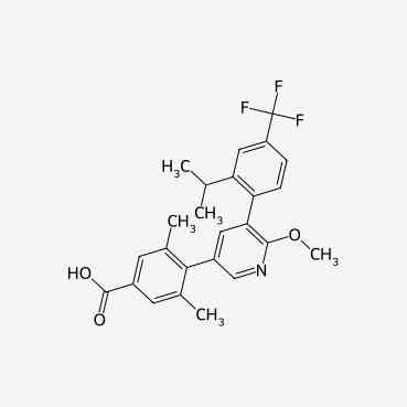 COc1ncc(-c2c(C)cc(C(=O)O)cc2C)cc1-c1ccc(C(F)(F)F)cc1C(C)C